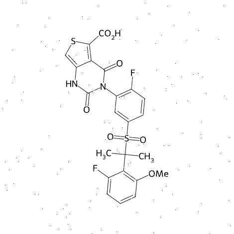 COc1cccc(F)c1C(C)(C)S(=O)(=O)c1ccc(F)c(-n2c(=O)[nH]c3csc(C(=O)O)c3c2=O)c1